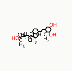 C=C1/C(=C\C=C2/CCCC3(C)C([C@H](C)CC#CC(C)(C)O)=CC[C@@H]23)C[C@@H](O)C[C@@H]1O